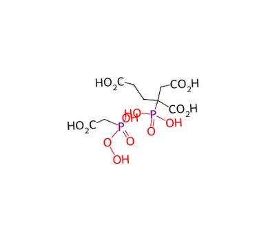 O=C(O)CCC(CC(=O)O)(C(=O)O)P(=O)(O)O.O=C(O)CP(=O)(O)OO